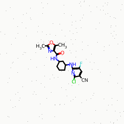 Cc1nc(C(=O)NC2CCCC(Nc3nc(Cl)c(C#N)cc3F)C2)c(C)o1